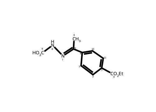 CCOC(=O)c1ccc(C(C)=NNC(=O)O)cc1